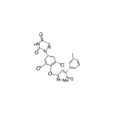 Cc1cccc(-c2cc(Oc3c(Cl)cc(-n4ncc(=O)[nH]c4=O)cc3Cl)n[nH]c2=O)c1